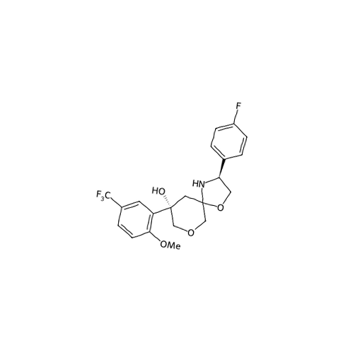 COc1ccc(C(F)(F)F)cc1[C@]1(O)COCC2(C1)N[C@@H](c1ccc(F)cc1)CO2